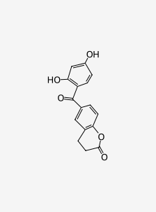 O=C1CCc2cc(C(=O)c3ccc(O)cc3O)ccc2O1